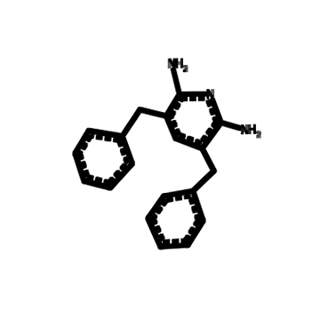 Nc1nc(N)c(Cc2ccccc2)cc1Cc1ccccc1